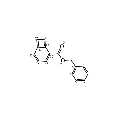 O=C(OCc1ccccc1)c1cccc2c1=CC=2